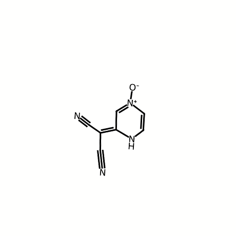 N#CC(C#N)=C1C=[N+]([O-])C=CN1